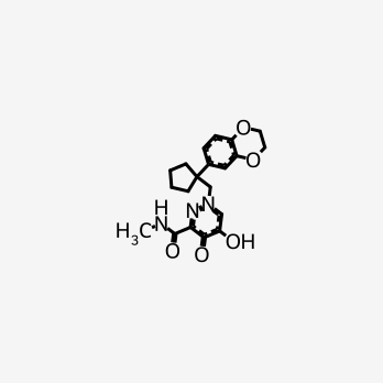 CNC(=O)c1nn(CC2(c3ccc4c(c3)OCCO4)CCCC2)cc(O)c1=O